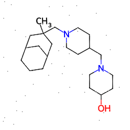 CC1(CN2CCC(CN3CCC(O)CC3)CC2)CC2CCCC(C2)C1